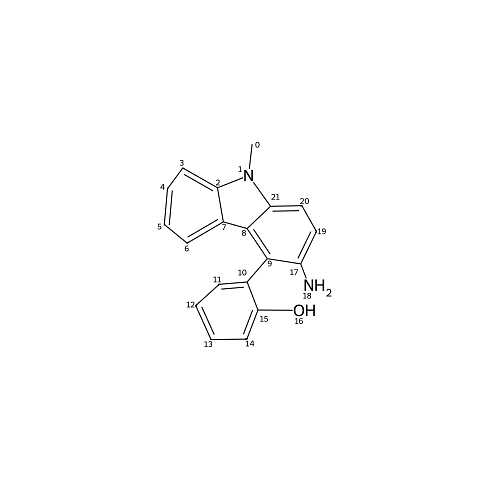 Cn1c2ccccc2c2c(-c3ccccc3O)c(N)ccc21